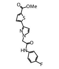 COC(=O)c1ccc(-c2ccn(CC(=O)Nc3ccc(F)cc3)n2)s1